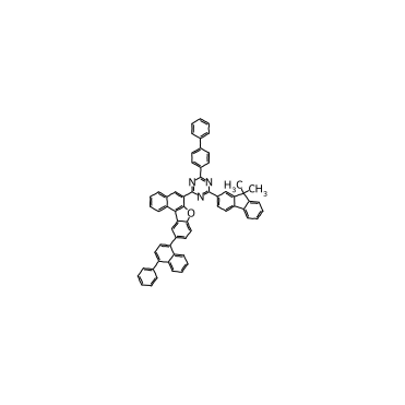 CC1(C)c2ccccc2-c2ccc(-c3nc(-c4ccc(-c5ccccc5)cc4)nc(-c4cc5ccccc5c5c4oc4ccc(-c6ccc(-c7ccccc7)c7ccccc67)cc45)n3)cc21